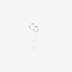 Clc1cc2cnccc2cc1SC1CCCN(CC2CC2)C1